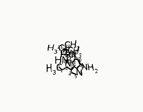 CCC1c2ccnc3c(N)cc(N)c(c23)N1NC(=O)OC(C)(C)C